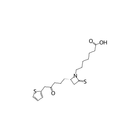 O=C(O)CCCCCCN1C(=S)C[C@@H]1CCCC(=O)Cc1cccs1